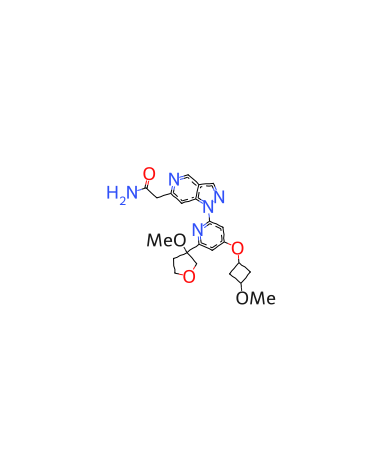 COC1CC(Oc2cc(-n3ncc4cnc(CC(N)=O)cc43)nc(C3(OC)CCOC3)c2)C1